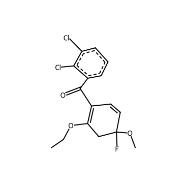 CCOC1=C(C(=O)c2cccc(Cl)c2Cl)C=CC(F)(OC)C1